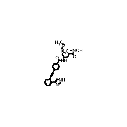 COCOCC(CC(C)C(=O)NO)NC(=O)c1ccc(C#Cc2ccccc2-c2c[nH]cn2)cc1